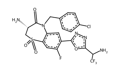 NC(c1nnc(-c2cc3c(cc2F)S(=O)(=O)C[C@H](N)C(=O)N3Cc2ccc(Cl)cc2)o1)C(F)(F)F